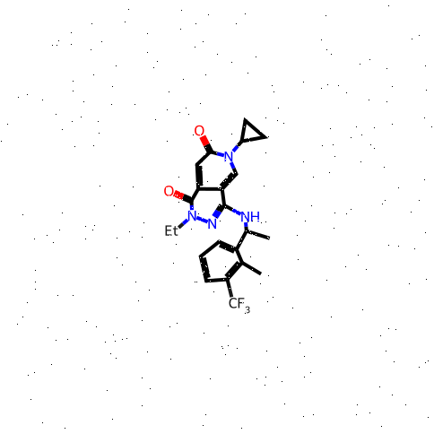 CCn1nc(NC(C)c2cccc(C(F)(F)F)c2C)c2cn(C3CC3)c(=O)cc2c1=O